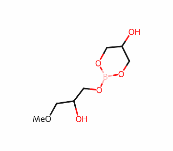 COCC(O)COB1OCC(O)CO1